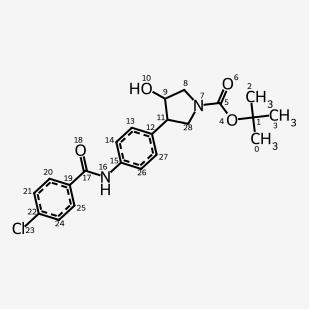 CC(C)(C)OC(=O)N1CC(O)C(c2ccc(NC(=O)c3ccc(Cl)cc3)cc2)C1